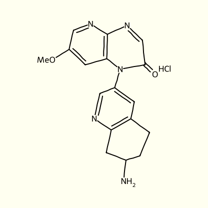 COc1cnc2ncc(=O)n(-c3cnc4c(c3)CCC(N)C4)c2c1.Cl